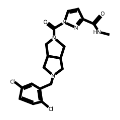 CNC(=O)c1ccn(C(=O)N2CC3CN(Cc4cc(Cl)ccc4Cl)CC3C2)n1